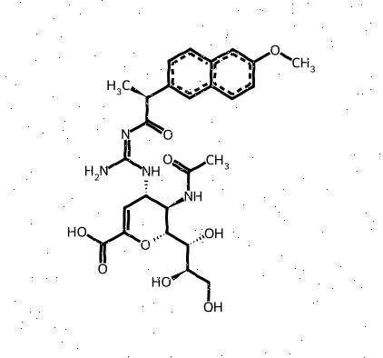 COc1ccc2cc([C@H](C)C(=O)/N=C(/N)N[C@H]3C=C(C(=O)O)O[C@@H]([C@H](O)[C@H](O)CO)[C@@H]3NC(C)=O)ccc2c1